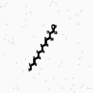 CCC=CCCCCC=CCCC=O